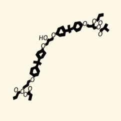 C=CC(=O)OCC(COc1ccc(C(C)(C)c2ccc(OCC(O)COc3ccc(C(C)(C)c4ccc(OCC(COC(=O)C(=C)C)OC(=O)C=C)cc4)cc3)cc2)cc1)OC(=O)C=C